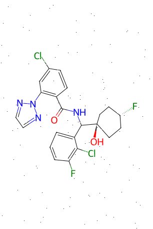 O=C(NC(c1cccc(F)c1Cl)[C@]1(O)CC[C@H](F)CC1)c1ccc(Cl)cc1-n1nccn1